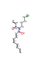 C=C/C=C/C=C\C=C\C(=O)N(CCCCBr)C(=O)C=C